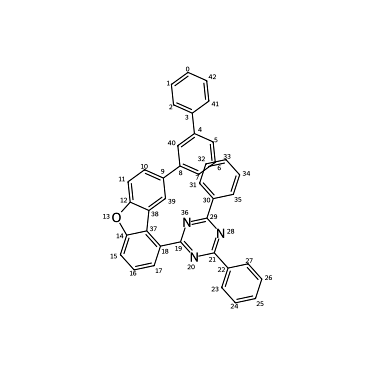 c1ccc(-c2cccc(-c3ccc4oc5cccc(-c6nc(-c7ccccc7)nc(-c7ccccc7)n6)c5c4c3)c2)cc1